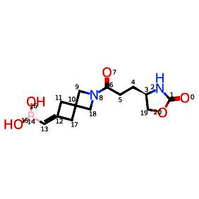 O=C1N[C@H](CCC(=O)N2CC3(CC(=CB(O)O)C3)C2)CO1